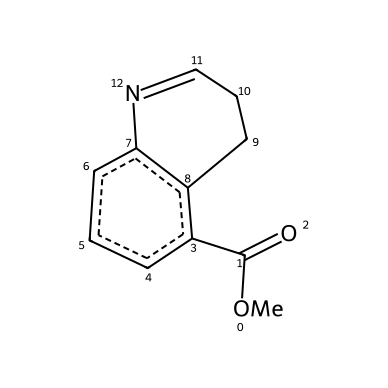 COC(=O)c1cccc2c1CCC=N2